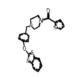 O=C(c1cccs1)N1CCN(Cc2ccc(Oc3nc4ccccc4s3)cc2)CC1